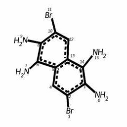 Nc1c(Br)cc2c(N)c(N)c(Br)cc2c1N